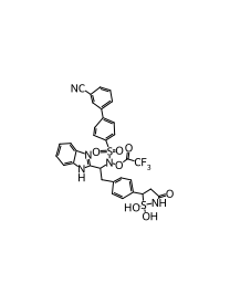 N#Cc1cccc(-c2ccc(S(=O)(=O)N(OC(=O)C(F)(F)F)C(Cc3ccc(C4CC(=O)NS4(O)O)cc3)c3nc4ccccc4[nH]3)cc2)c1